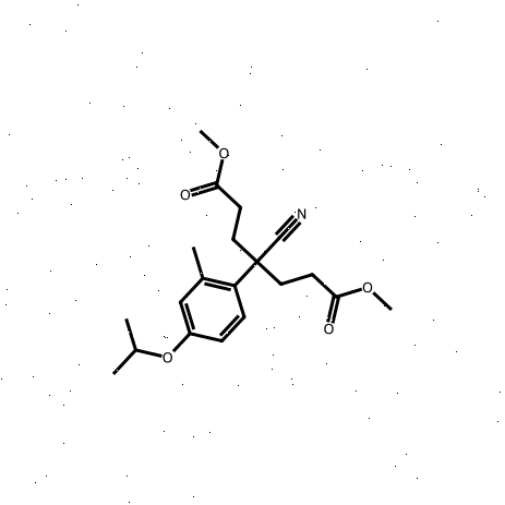 COC(=O)CCC(C#N)(CCC(=O)OC)c1ccc(OC(C)C)cc1C